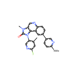 CNc1ccc(-c2ccc3ncc4c(c3c2)n(-c2cnc(F)cc2C)c(=O)n4C)cn1